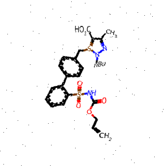 C=CCOC(=O)NS(=O)(=O)c1ccccc1-c1ccc(CS2=C(C(=O)O)C(C)=NN2CCCC)cc1